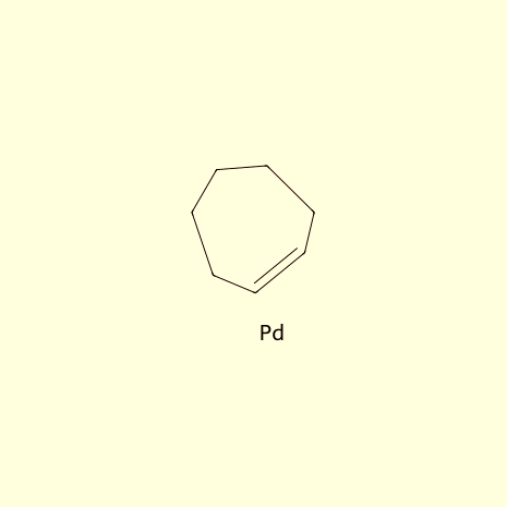 C1=CCCCCC1.[Pd]